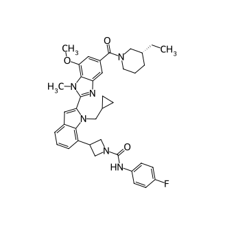 CC[C@@H]1CCCN(C(=O)c2cc(OC)c3c(c2)nc(-c2cc4cccc(C5CN(C(=O)Nc6ccc(F)cc6)C5)c4n2CC2CC2)n3C)C1